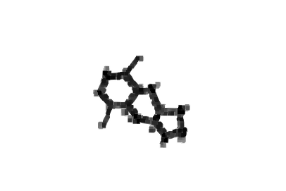 Cc1cnc(C)c2nc3nonc3nc12